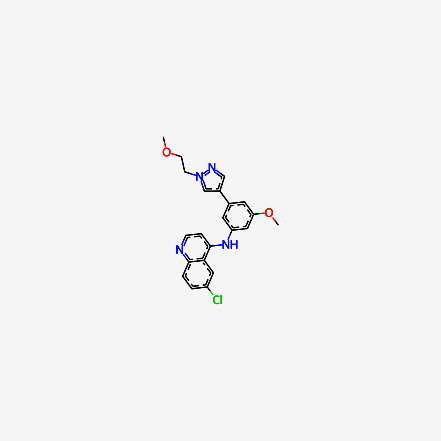 COCCn1cc(-c2cc(Nc3ccnc4ccc(Cl)cc34)cc(OC)c2)cn1